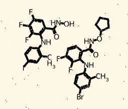 Cc1cc(Br)ccc1Nc1c(C(=O)NOC2CCCC2)ccc(F)c1F.Cc1cc(I)ccc1Nc1c(C(=O)NO)cc(F)c(F)c1F